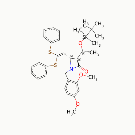 COc1ccc(CN2C(=O)[C@H]([C@@H](C)O[Si](C)(C)C(C)(C)C)[C@H]2C=C(Sc2ccccc2)Sc2ccccc2)c(OC)c1